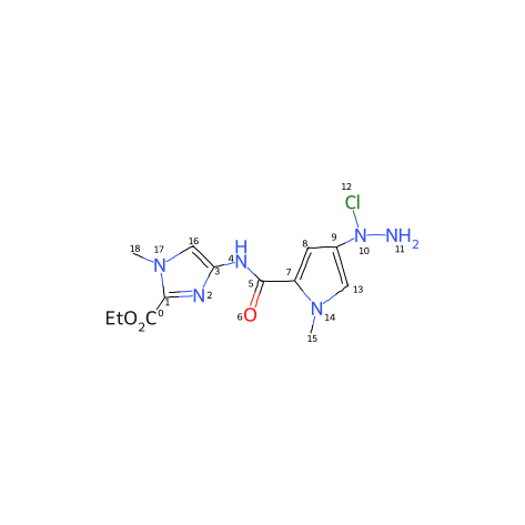 CCOC(=O)c1nc(NC(=O)c2cc(N(N)Cl)cn2C)cn1C